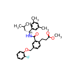 COC(=O)CCc1ccc(COc2ccccc2F)cc1C(=O)N[C@H](CC(C)C)c1cc(C)cc(C)c1